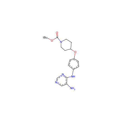 CC(C)(C)OC(=O)N1CCC(Oc2ccc(Nc3ncncc3N)cc2)CC1